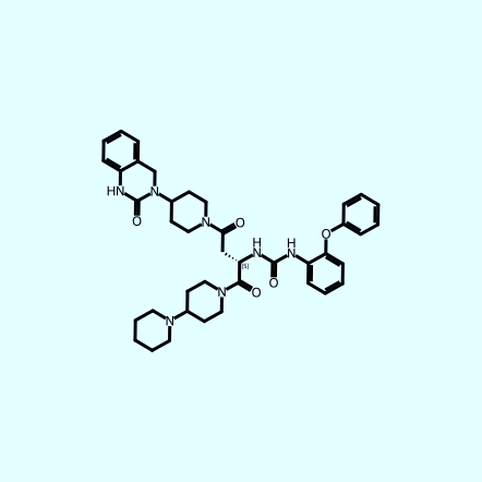 O=C(Nc1ccccc1Oc1ccccc1)N[C@@H](CC(=O)N1CCC(N2Cc3ccccc3NC2=O)CC1)C(=O)N1CCC(N2CCCCC2)CC1